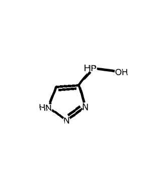 OPc1c[nH]nn1